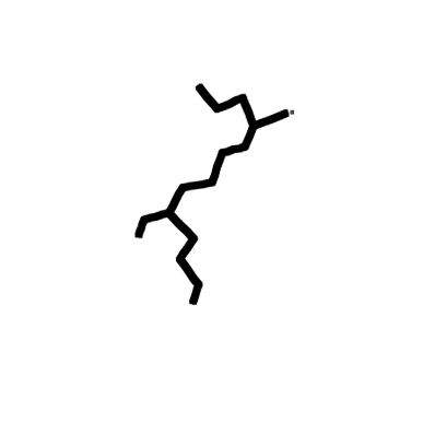 [CH2]C(CCC)CCCCC(CC)CCCC